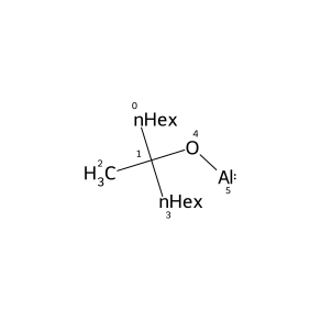 CCCCCCC(C)(CCCCCC)[O][Al]